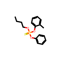 CCCCOP(=S)(Oc1ccccc1)Oc1ccccc1C